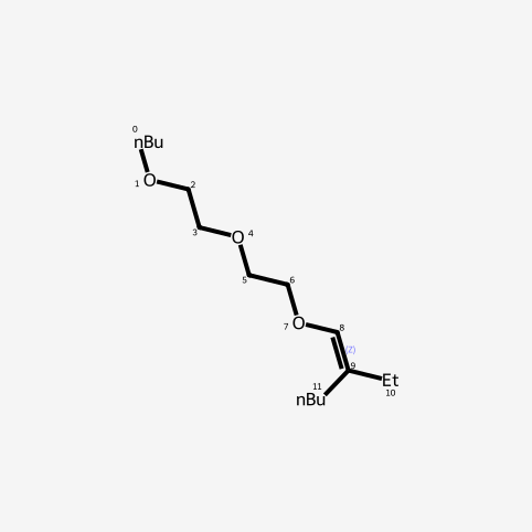 CCCCOCCOCCO/C=C(/CC)CCCC